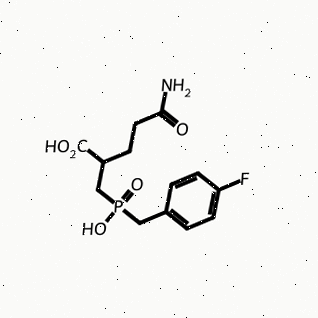 NC(=O)CCC(CP(=O)(O)Cc1ccc(F)cc1)C(=O)O